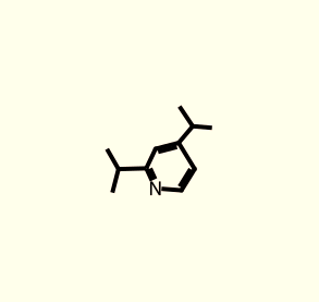 CC(C)c1ccnc(C(C)C)c1